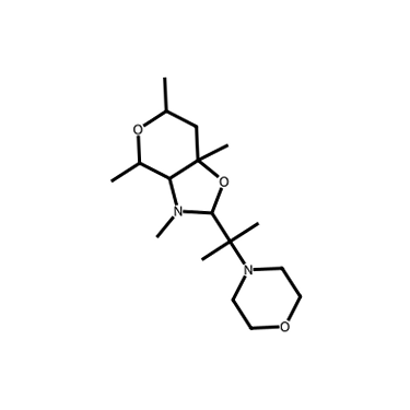 CC1CC2(C)OC(C(C)(C)N3CCOCC3)N(C)C2C(C)O1